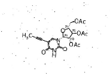 CC#Cc1cn([C@@H]2O[C@H](COC(C)=O)[C@@H](OC(C)=O)[C@@H]2OC(C)=O)c(=O)[nH]c1=O